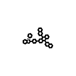 c1ccc(N2c3ccccc3CC2c2ccc(-c3ccc4c(-c5ccc6ccccc6c5)c5ccccc5c(-c5ccc6ccccc6c5)c4c3)cc2)cc1